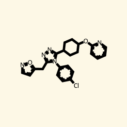 Clc1ccc(-n2c(Cc3ccno3)nnc2C2CCC(Oc3ccccn3)CC2)cc1